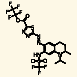 CC(C)N1c2cc(NS(=O)(=O)C(F)(F)F)c(N=Nc3nnc(C(=O)OC(F)(F)C(F)(F)F)s3)cc2CCC1C